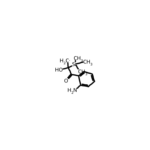 [CH2]C(O)(C(=O)c1ccccc1N)[Si](C)(C)C